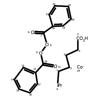 CC(C)CCCCC(=O)O.O=C(OOC(=O)c1ccccc1)c1ccccc1.[Co]